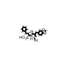 CC(=O)SC/C(=C\c1ccc2c(c1)OCO2)C(=O)N[C@@H](CCc1ccccc1)C(=O)O